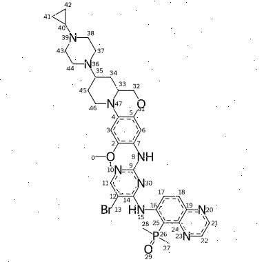 COc1cc2c(cc1Nc1ncc(Br)c(Nc3ccc4nccnc4c3P(C)(C)=O)n1)OCC1CC(N3CCN(C4CC4)CC3)CCN21